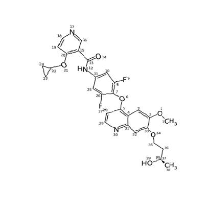 COc1cc2c(Oc3c(F)cc(NC(=O)c4cnccc4OC4CC4)cc3F)ccnc2cc1OCC[C@@H](C)O